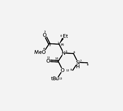 CC[C@H](C(=O)OC)N(C[SiH](C)C)C(=O)OC(C)(C)C